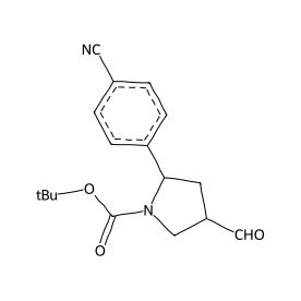 CC(C)(C)OC(=O)N1CC(C=O)CC1c1ccc(C#N)cc1